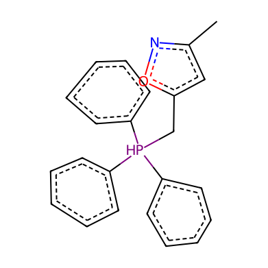 Cc1cc(C[PH](c2ccccc2)(c2ccccc2)c2ccccc2)on1